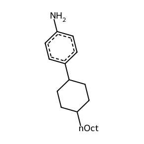 CCCCCCCCC1CCC(c2ccc(N)cc2)CC1